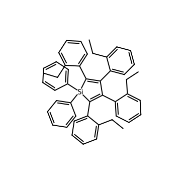 CCc1ccccc1C1=C(c2ccccc2CC)[Si](c2ccccc2)(c2ccccc2)C(c2ccccc2CC)=C1c1ccccc1CC